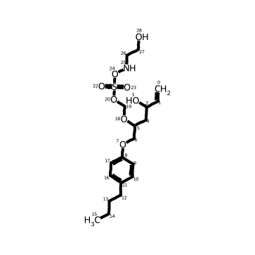 C=CC(O)CC(COc1ccc(CCCC)cc1)OCOS(=O)(=O)ONCCO